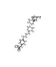 CCCCC[SiH]1CCC([C@H]2CC[C@H](CCCCc3ccc(C=C(Cl)Cl)cc3)CC2)CC1